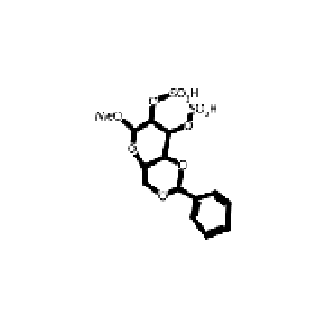 COC1OC2COC(c3ccccc3)OC2C(OS(=O)(=O)O)C1OS(=O)(=O)O